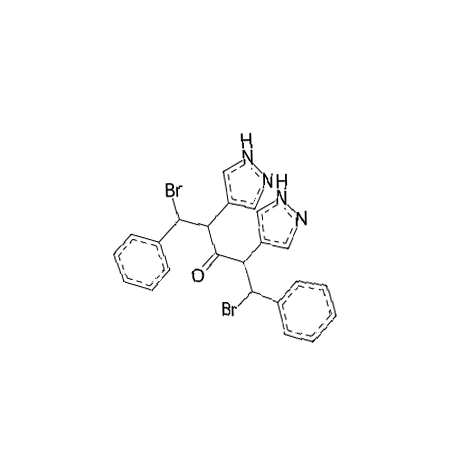 O=C(C(c1cn[nH]c1)C(Br)c1ccccc1)C(c1cn[nH]c1)C(Br)c1ccccc1